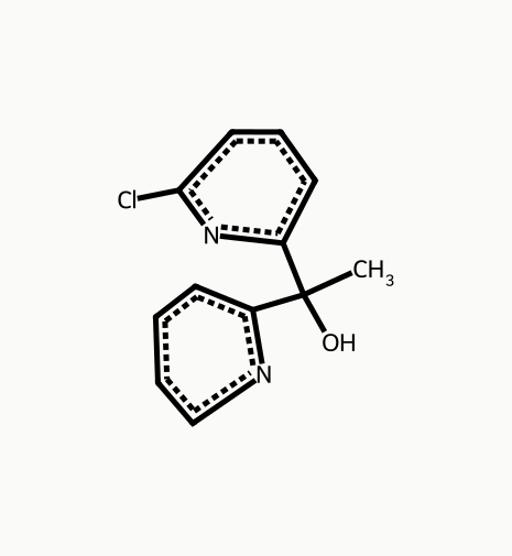 CC(O)(c1ccccn1)c1cccc(Cl)n1